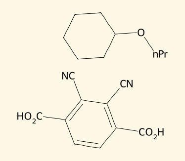 CCCOC1CCCCC1.N#Cc1c(C(=O)O)ccc(C(=O)O)c1C#N